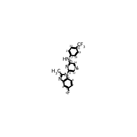 Cc1nc2cc(F)ccc2n1-c1cncc(Nc2ccc(C(F)(F)F)cc2)n1